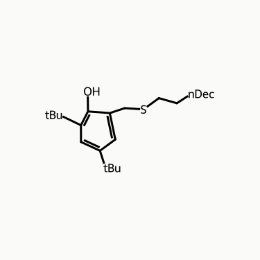 CCCCCCCCCCCCSCc1cc(C(C)(C)C)cc(C(C)(C)C)c1O